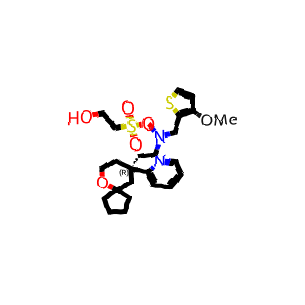 COc1ccsc1CN(CC[C@@]1(c2ccccn2)CCOC2(CCCC2)C1)OS(=O)(=O)CCO